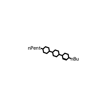 CCCCCC1CCC(C2CCC(C3C=CC(CCCC)CC3)CC2)CC1